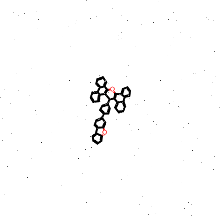 c1ccc2c(c1)oc1cc(-c3ccc(C4c5c(c6ccccc6c6ccccc56)Oc5c4c4ccccc4c4ccccc54)cc3)ccc12